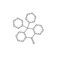 O=C1c2ccccc2C(c2ccccc2)(c2ccccc2)c2ccccc21